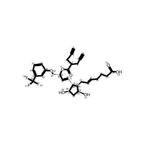 C#CCC(CC#C)C(=O)O[C@H](C=C[C@@H]1[C@@H](CC=CCCCC(=O)O)[C@@H](O)C[C@H]1O)COc1cccc(C(F)(F)F)c1